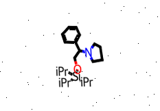 CC(C)[Si](OCC(c1ccccc1)N1CCCC1)(C(C)C)C(C)C